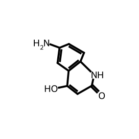 Nc1ccc2[nH]c(=O)cc(O)c2c1